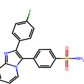 NS(=O)(=O)c1ccc(-c2c(-c3ccc(F)cc3)nc3ccccn23)cc1